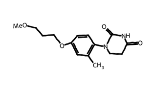 COCCCOc1ccc(N2CCC(=O)NC2=O)c(C)c1